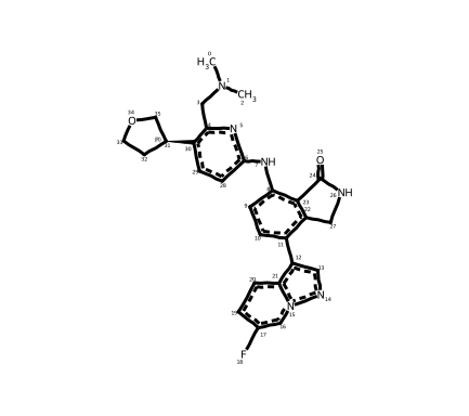 CN(C)Cc1nc(Nc2ccc(-c3cnn4cc(F)ccc34)c3c2C(=O)NC3)ccc1[C@H]1CCOC1